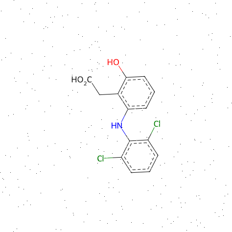 O=C(O)Cc1c(O)cccc1Nc1c(Cl)cccc1Cl